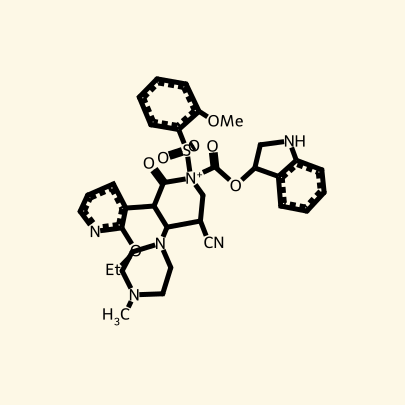 CCOc1ncccc1C1C(=O)[N+](C(=O)OC2CNc3ccccc32)(S(=O)(=O)c2ccccc2OC)CC(C#N)C1N1CCN(C)CC1